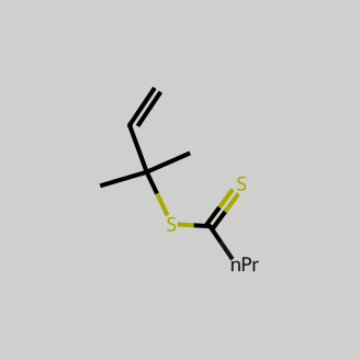 C=CC(C)(C)SC(=S)CCC